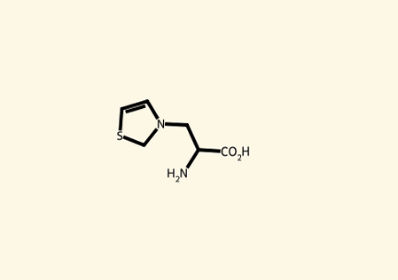 NC(CN1C=CSC1)C(=O)O